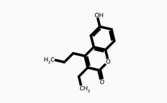 CCCc1c(CC)c(=O)oc2ccc(O)cc12